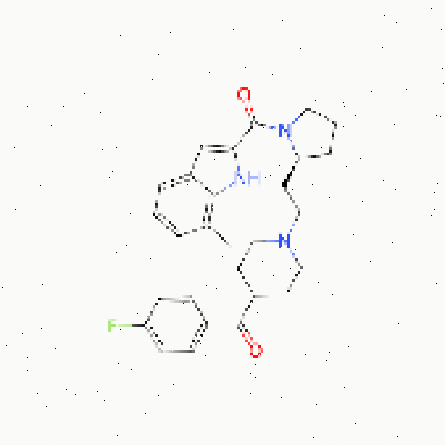 Cc1cccc2cc(C(=O)N3CCC[C@H]3CCN3CCC(C(=O)c4ccc(F)cc4)CC3)[nH]c12